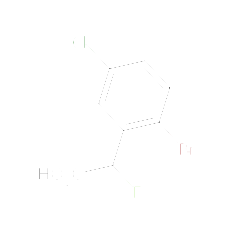 O=C(O)C(F)c1cc(Cl)ccc1Br